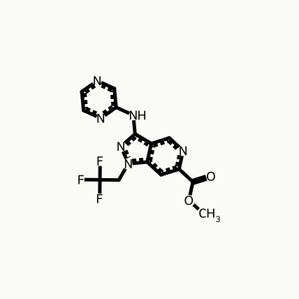 COC(=O)c1cc2c(cn1)c(Nc1cnccn1)nn2CC(F)(F)F